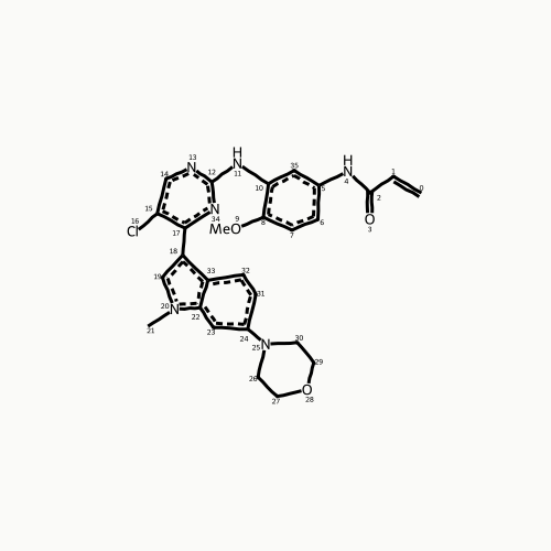 C=CC(=O)Nc1ccc(OC)c(Nc2ncc(Cl)c(-c3cn(C)c4cc(N5CCOCC5)ccc34)n2)c1